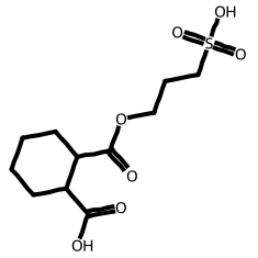 O=C(O)C1CCCCC1C(=O)OCCCS(=O)(=O)O